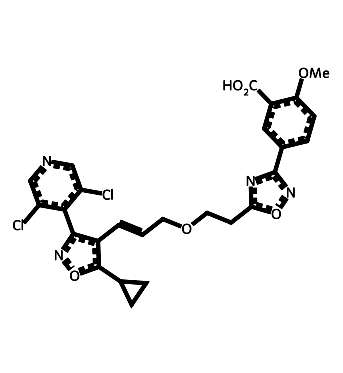 COc1ccc(-c2noc(CCOC/C=C/c3c(-c4c(Cl)cncc4Cl)noc3C3CC3)n2)cc1C(=O)O